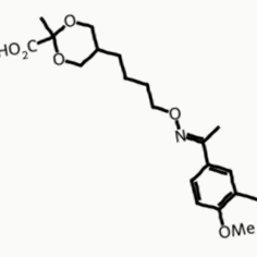 COc1ccc(C(C)=NOCCCCC2COC(C)(C(=O)O)OC2)cc1C